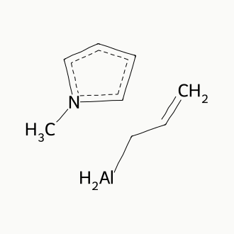 C=C[CH2][AlH2].Cn1cccc1